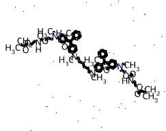 C=C(C)C(=O)OCCNC(=O)OCC/[N+](CC)=c1/ccc2c(-c3ccccc3C)c3ccc(N(C)CCCCCCN(C)c4ccc5c(-c6ccccc6C)c6cc/c(=[N+](\CC)CCOC(=O)NCCOC(=O)C(=C)C)cc-6oc5c4)cc3oc-2c1